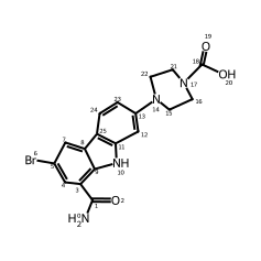 NC(=O)c1cc(Br)cc2c1[nH]c1cc(N3CCN(C(=O)O)CC3)ccc12